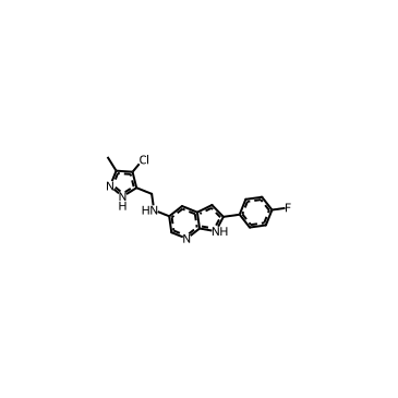 Cc1n[nH]c(CNc2cnc3[nH]c(-c4ccc(F)cc4)cc3c2)c1Cl